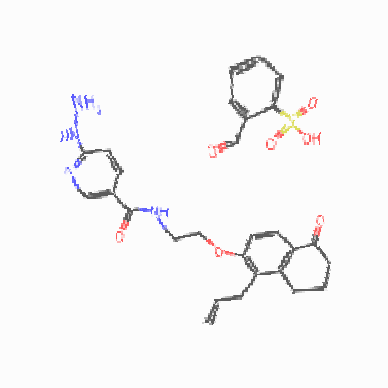 C=CCc1c(OCCNC(=O)c2ccc(NN)nc2)ccc2c1CCCC2=O.O=Cc1ccccc1S(=O)(=O)O